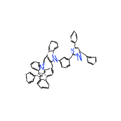 c1ccc(-c2cc(-c3ccccc3)nc(-c3cccc(-n4c5ccccc5c5cnc6c7c(ccc6c54)-c4ccccc4[Si]7(c4ccccc4)c4ccccc4)c3)n2)cc1